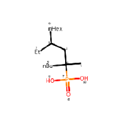 CCCCCCC(CC)CC(C)(CCCC)P(=O)(O)O